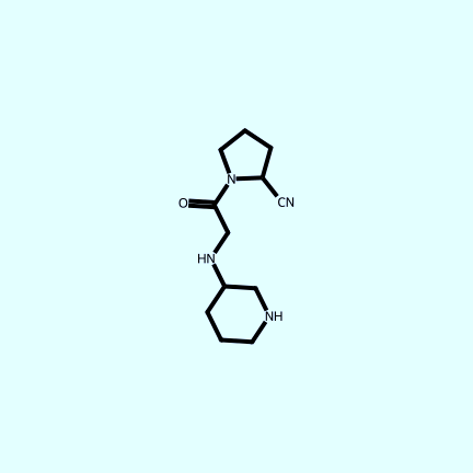 N#CC1CCCN1C(=O)CNC1CCCNC1